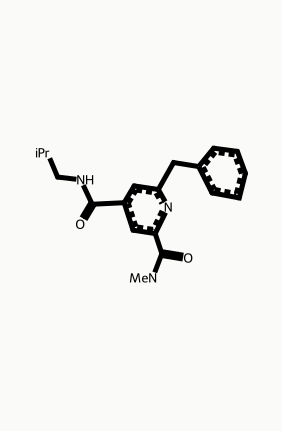 CNC(=O)c1cc(C(=O)NCC(C)C)cc(Cc2ccccc2)n1